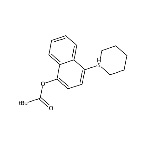 CC(C)(C)C(=O)Oc1ccc([SH]2CCCCC2)c2ccccc12